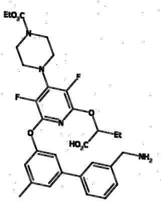 CCOC(=O)N1CCN(c2c(F)c(Oc3cc(C)cc(-c4cccc(CN)c4)c3)nc(OC(CC)C(=O)O)c2F)CC1